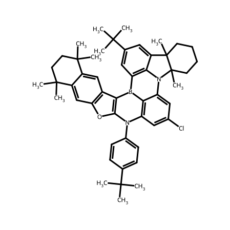 CC(C)(C)c1ccc(N2c3cc(Cl)cc4c3B(c3cc(C(C)(C)C)cc5c3N4C3(C)CCCCC53C)c3c2oc2cc4c(cc32)C(C)(C)CCC4(C)C)cc1